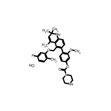 COc1cc(OC(=O)N2CCNCC2)ccc1-c1ccc2c(c1COc1cc(F)ccc1C)C(C)=CC(C)(C)N2.Cl